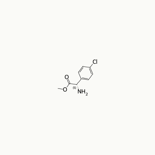 COC(=O)[C@@H](N)c1ccc(Cl)cc1